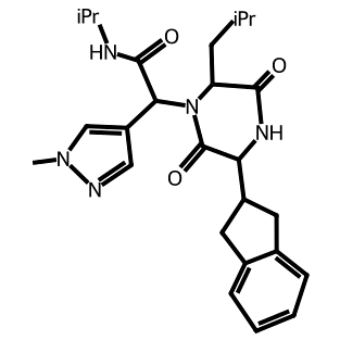 CC(C)CC1C(=O)NC(C2Cc3ccccc3C2)C(=O)N1C(C(=O)NC(C)C)c1cnn(C)c1